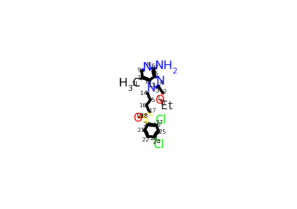 CCOCc1nc2c(N)ncc(C)c2n1CCCC[S+]([O-])c1ccc(Cl)cc1Cl